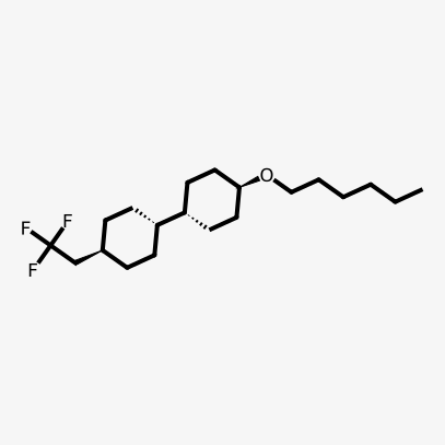 CCCCCCO[C@H]1CC[C@H]([C@H]2CC[C@H](CC(F)(F)F)CC2)CC1